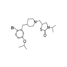 CC(C)Oc1ccc(Br)c(CC2CCN(CC3CN(C(C)C)C(=O)S3)CC2)c1